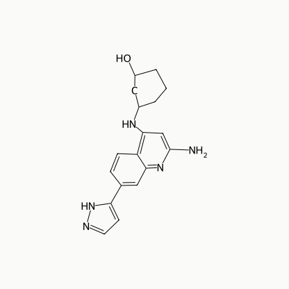 Nc1cc(NC2CCCC(O)C2)c2ccc(-c3ccn[nH]3)cc2n1